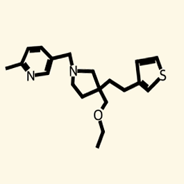 CCOCC1(CCc2ccsc2)CCN(Cc2ccc(C)nc2)C1